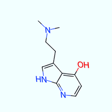 CN(C)CCc1c[nH]c2nccc(O)c12